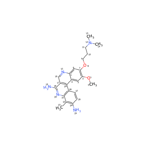 COc1cc2c(cc1OCCCN(C)C)ncc1c(N)nc3c(C)c(N)ccc3c12